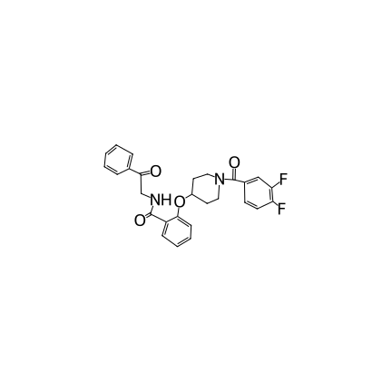 O=C(CNC(=O)c1ccccc1OC1CCN(C(=O)c2ccc(F)c(F)c2)CC1)c1ccccc1